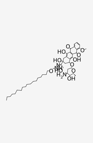 CCCCCCCCCCCCCCCCCCOCN/N=C(\CO)[C@]1(O)Cc2c(O)c3c(c(O)c2[C@@H](O[C@H]2C[C@H](N)[C@H](O)[C@H](C)O2)C1)C(=O)c1c(OC)cccc1C3=O